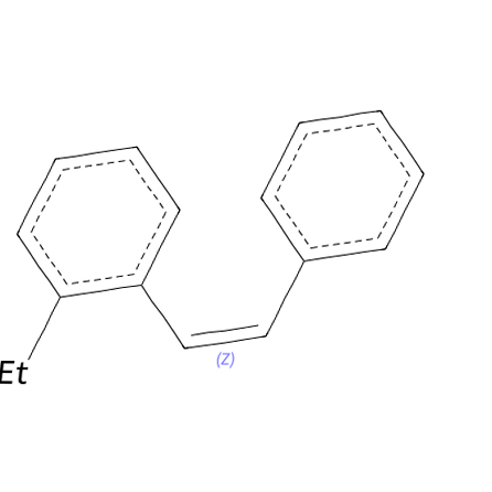 CCc1ccccc1/C=C\c1ccccc1